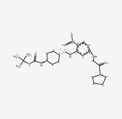 CC(C)(C)OC(=O)N[C@H]1CC[C@H](CNc2nc(NCC(=O)N3CCCC3)ncc2[N+](=O)[O-])CC1